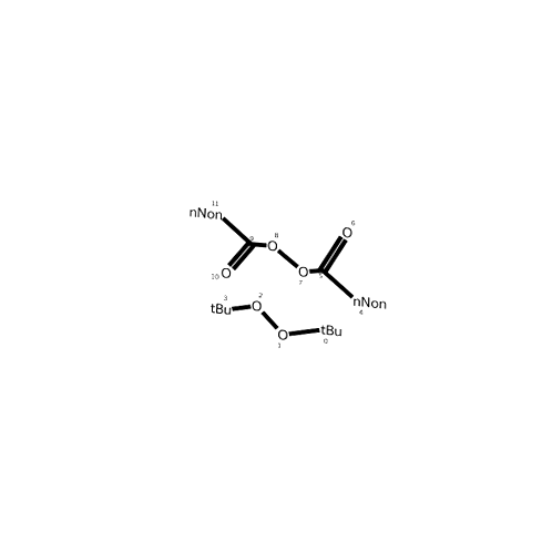 CC(C)(C)OOC(C)(C)C.CCCCCCCCCC(=O)OOC(=O)CCCCCCCCC